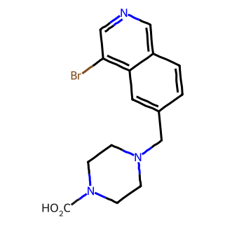 O=C(O)N1CCN(Cc2ccc3cncc(Br)c3c2)CC1